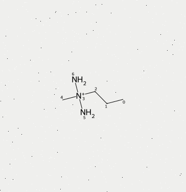 CCC[N+](C)(N)N